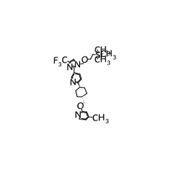 Cc1ccnc(OC[C@H]2CC[C@H](c3ccc(-c4nc(C(F)(F)F)cn4COCC[Si](C)(C)C)cn3)CC2)c1